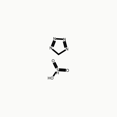 C1N=NN=N1.O=[SH](=O)O